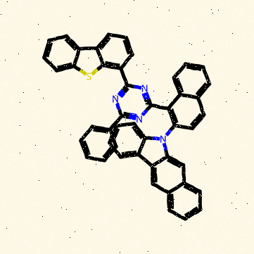 c1ccc(-c2nc(-c3c(-n4c5ccccc5c5cc6ccccc6cc54)ccc4ccccc34)nc(-c3cccc4c3sc3ccccc34)n2)cc1